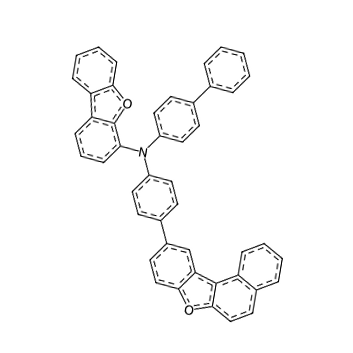 c1ccc(-c2ccc(N(c3ccc(-c4ccc5oc6ccc7ccccc7c6c5c4)cc3)c3cccc4c3oc3ccccc34)cc2)cc1